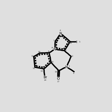 CN1Cc2c(I)ncn2-c2cccc(Br)c2C1=O